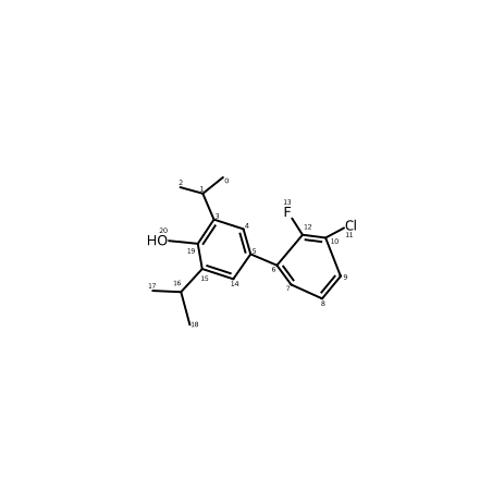 CC(C)c1cc(-c2cccc(Cl)c2F)cc(C(C)C)c1O